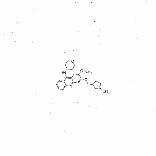 COc1cc2c(NC3CCOCC3)c3ccccc3nc2cc1OCC1CCN(C)C1